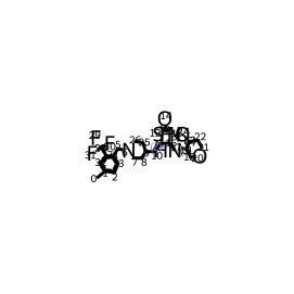 Cc1ccc(CN2CCC(/C=C3\SC(=O)N=C3N[C@H]3COCC[C@@H]3O)CC2)c(C(F)(F)F)c1